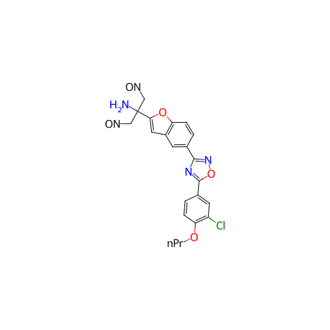 CCCOc1ccc(-c2nc(-c3ccc4oc(C(N)(CN=O)CN=O)cc4c3)no2)cc1Cl